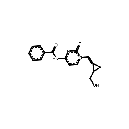 O=C(Nc1ccn(C=C2CC2CO)c(=O)n1)c1ccccc1